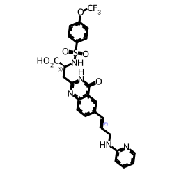 O=C(O)[C@H](Cc1nc2ccc(/C=C/CNc3ccccn3)cc2c(=O)[nH]1)NS(=O)(=O)c1ccc(OC(F)(F)F)cc1